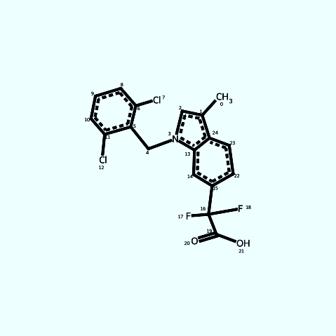 Cc1cn(Cc2c(Cl)cccc2Cl)c2cc(C(F)(F)C(=O)O)ccc12